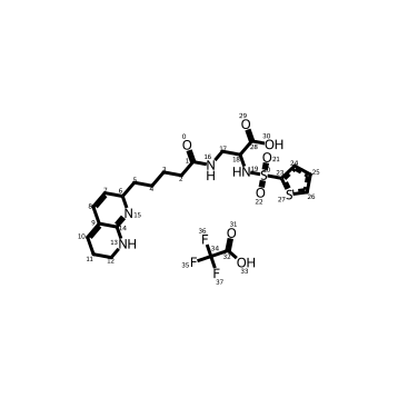 O=C(CCCCC1C=CC2=CCCNC2=N1)NCC(NS(=O)(=O)c1cccs1)C(=O)O.O=C(O)C(F)(F)F